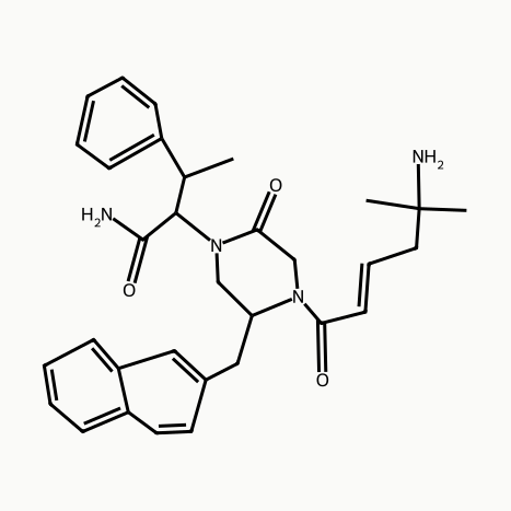 CC(c1ccccc1)C(C(N)=O)N1CC(Cc2ccc3ccccc3c2)N(C(=O)/C=C/CC(C)(C)N)CC1=O